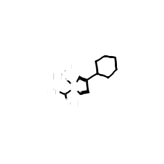 CCNS1(C(O)C(C)C)C=CC(C2CCCCC2)=C1